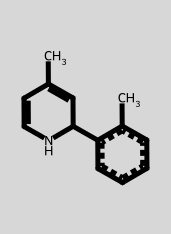 CC1=CC(c2ccccc2C)NC=C1